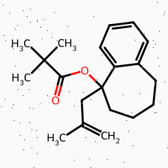 C=C(C)CC1(OC(=O)C(C)(C)C)CCCCc2ccccc21